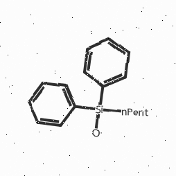 CCCCC[Si]([O])(c1ccccc1)c1ccccc1